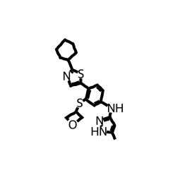 Cc1cc(Nc2ccc(-c3cnc(C4CCCCC4)s3)c(SC3COC3)c2)n[nH]1